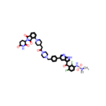 CCN(C)S(=O)(=O)Nc1ccc(F)c(C(=O)c2c[nH]c3ncc(-c4ccc(CN5CCN(C(=O)CC6CCN(c7cccc8c7C(=O)N(C7CCC(=O)NC7=O)C8=O)CC6)CC5)cc4)cc23)c1F